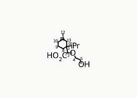 CC(C)C1(C(OCCO)C(=O)O)CCC[C@@H](C)C1